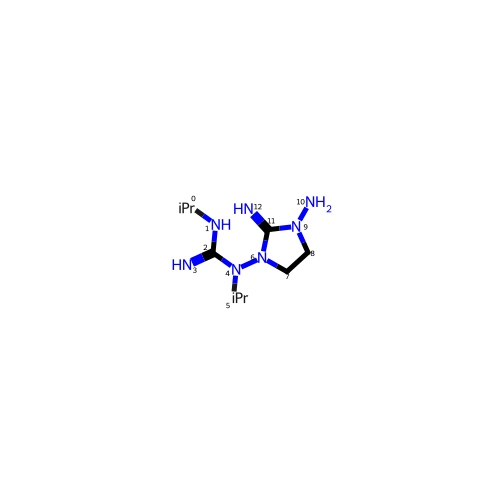 CC(C)NC(=N)N(C(C)C)N1CCN(N)C1=N